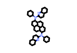 c1ccc(N(c2ccc3ccccc3n2)c2ccc3ccc4c(N(c5ccccc5)c5ccc6ccccc6n5)ccc5ccc2c3c54)cc1